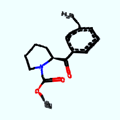 Bc1cccc(C(=O)[C@@H]2CCCCN2C(=O)OC(C)(C)C)c1